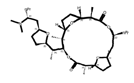 CCC[C@H]1C[C@@H]2CC[C@@H](O2)[C@H](C)C(=O)O[C@@H]([C@H](C)[C@H]2CC[C@@H](C[C@@H](CCC)N(C)C)O2)[C@H](C)[C@@H]2CC[C@@H](O2)[C@@H](C)C(=O)O1